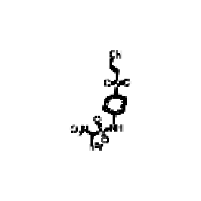 CCCC([N+](=O)[O-])S(=O)(=O)Nc1ccc(S(=O)(=O)/C=C/C#N)cc1